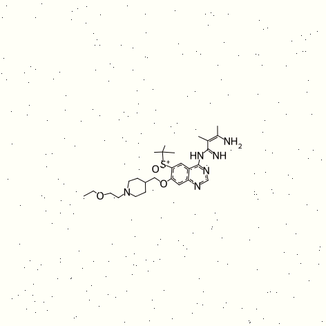 CCOCCN1CCC(COc2cc3ncnc(NC(=N)/C(C)=C(/C)N)c3cc2[S+]([O-])C(C)(C)C)CC1